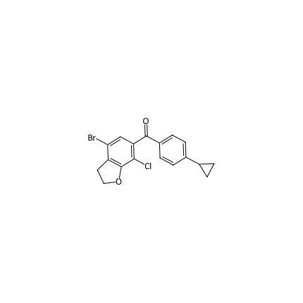 O=C(c1ccc(C2CC2)cc1)c1cc(Br)c2c(c1Cl)OCC2